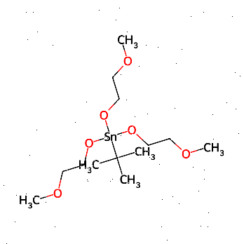 COCC[O][Sn]([O]CCOC)([O]CCOC)[C](C)(C)C